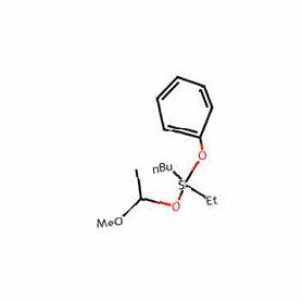 CCCC[Si](CC)(Oc1ccccc1)OC(C)OC